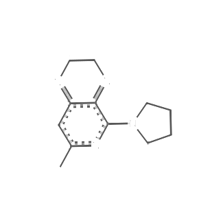 Cc1cc2c(c(N3CCCC3)n1)=NCCN=2